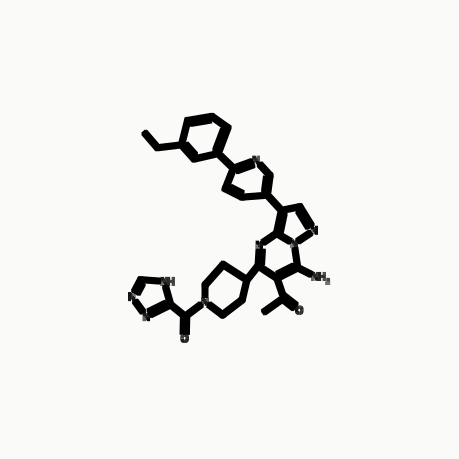 CCc1cccc(-c2ccc(-c3cnn4c(N)c(C(C)=O)c(C5CCN(C(=O)c6nnc[nH]6)CC5)nc34)cn2)c1